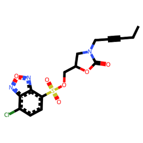 CCC#CCN1CC(COS(=O)(=O)c2ccc(Cl)c3nonc23)OC1=O